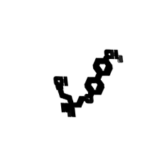 C#CCCC1(CCOc2ccc(-c3ccc(C)cc3)cc2)N=N1